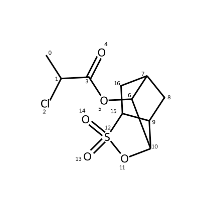 CC(Cl)C(=O)OC1C2CC3C1OS(=O)(=O)C3C2